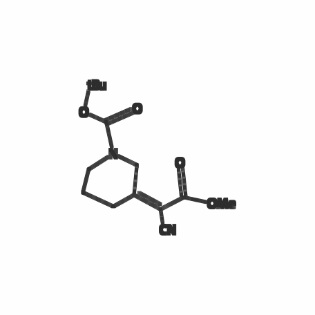 COC(=O)C(C#N)=C1CCCN(C(=O)OC(C)(C)C)C1